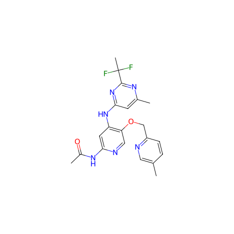 CC(=O)Nc1cc(Nc2cc(C)nc(C(C)(F)F)n2)c(OCc2ccc(C)cn2)cn1